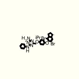 CC(C)c1cc(Oc2c(Br)cc3c(c2Br)CC[CH]3)ccc1OCc1nc(N)nc(Nc2ccccc2)n1